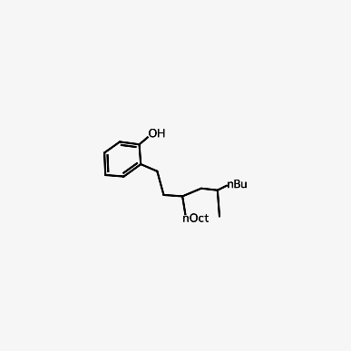 CCCCCCCCC(CCc1ccccc1O)CC(C)CCCC